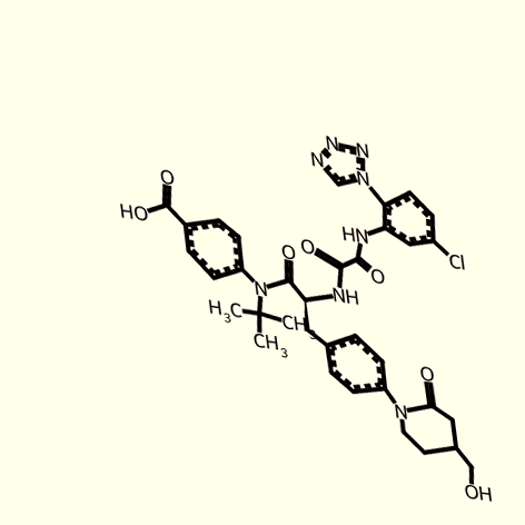 CC(C)(C)N(C(=O)[C@H](Cc1ccc(N2CCC(CO)CC2=O)cc1)NC(=O)C(=O)Nc1cc(Cl)ccc1-n1cnnn1)c1ccc(C(=O)O)cc1